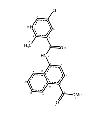 COC(=O)c1ccc(NC(=O)c2cc(Cl)cnc2C)c2ccccc12